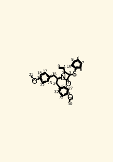 C=CC1C(Sc2ccccc2)C(=O)N1C(Cc1ccc(OC)cc1)Cc1ccc(OC)cc1